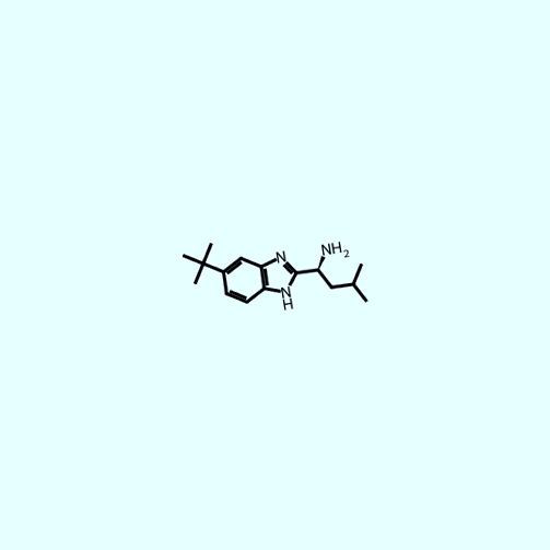 CC(C)C[C@H](N)c1nc2cc(C(C)(C)C)ccc2[nH]1